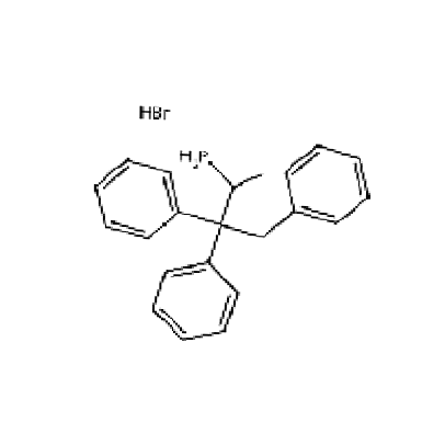 Br.CC(P)C(Cc1ccccc1)(c1ccccc1)c1ccccc1